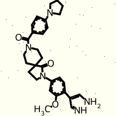 COc1cc(N2CCC3(CCN(C(=O)c4ccc(N5CCCC5)cc4)CC3)C2=O)ccc1/C(C=N)=C/N